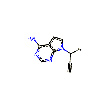 C#CC(CC)n1ccc2c(N)ncnc21